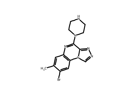 Cc1cc2nc(N3CCNCC3)c3nncn3c2cc1Br